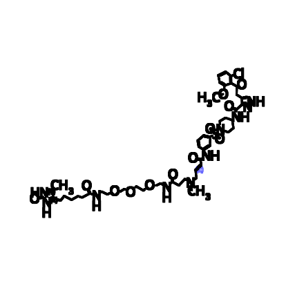 COc1cccc(Cl)c1C(=O)Cc1c[nH]nc1C(=O)NC1CCN(S(=O)(=O)c2cccc(NC(=O)/C=C/CN(C)CCC(=O)NCCOCCOCCOCCNC(=O)CCCCC[C@H]3NC(=O)N[C@H]3C)c2)CC1